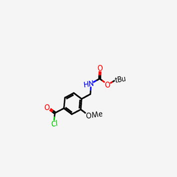 COc1cc(C(=O)Cl)ccc1CNC(=O)OC(C)(C)C